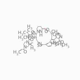 C=CC(=O)N1CCN(C(=O)N(C)[C@H](C(=O)N[C@H]2Cc3nc(cs3)-c3ccc4c(c3)c(c(-c3cccnc3[C@H](C)OC)n4C)CC(C)(C)COCC3(C=O)CCCN(N3)C2=O)C(C)C)[C@@H](C)C1